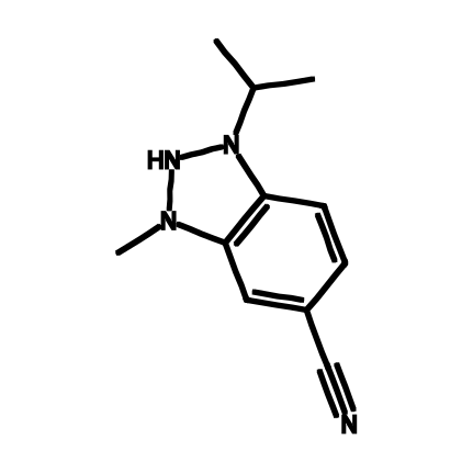 CC(C)N1NN(C)c2cc(C#N)ccc21